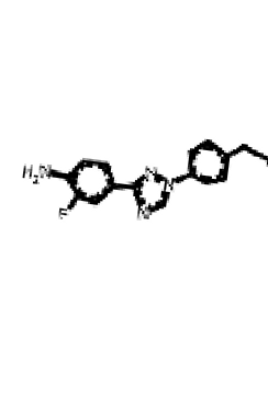 N#CCc1ccc(-n2cnc(-c3ccc(N)c(F)c3)n2)cc1